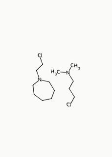 CN(C)CCCCl.ClCCN1CCCCCC1